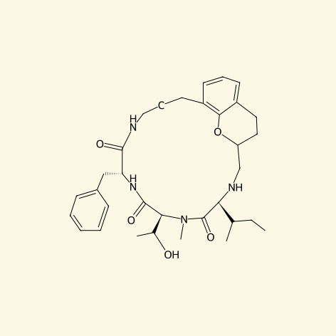 CCC(C)[C@@H]1NCC2CCc3cccc(c3O2)CCCNC(=O)[C@@H](Cc2ccccc2)NC(=O)[C@H](C(C)O)N(C)C1=O